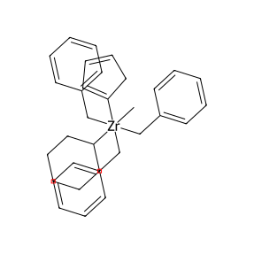 [CH3][Zr]([CH2]c1ccccc1)([CH2]c1ccccc1)([CH2]c1ccccc1)([C]1=CC=CC1)[CH]1CCCCC1